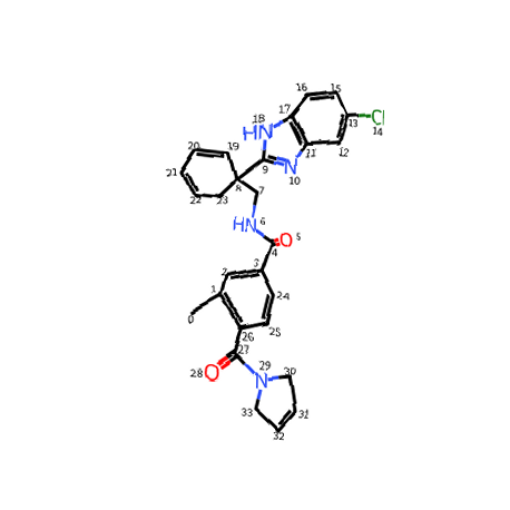 Cc1cc(C(=O)NCC2(c3nc4cc(Cl)ccc4[nH]3)C=CC=CC2)ccc1C(=O)N1CC=CC1